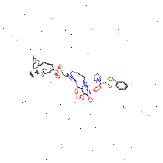 C=C/C=C\C(=C/C)S(=O)(=O)CCN1CCn2c([C@@H]3CCCN3C(=O)CSc3ccccc3Cl)nc(=O)c(O)c2C1=O